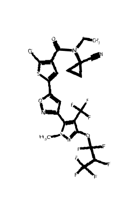 CCN(C(=O)c1cc(-c2cc(-c3c(C(F)(F)F)c(OC(F)(F)C(F)C(F)(F)F)nn3C)no2)sc1Cl)C1(C#N)CC1